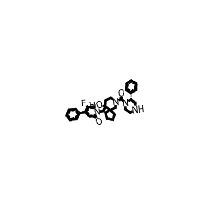 O=C(N1CCC(O)(Cn2cc(F)c(-c3ccccc3)cc2=O)C2(CCCC2)C1)N1CCNC[C@H]1c1ccccc1